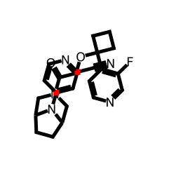 N#Cc1cc(N2C3CCC2CN(C(=O)COC2(c4ccncc4F)CCC2)C3)ccn1